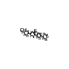 CCC1CCC(c2ccc(-c3ccc(C4CCCCC4)cc3)c(F)c2)CC1